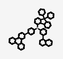 c1ccc(C2(c3ccccc3)c3ccccc3-c3c(N(c4ccc(-c5ccc6c7ccccc7c7ccccc7c6c5)cc4)c4cccc(-c5cccc6ccccc56)c4)cccc32)cc1